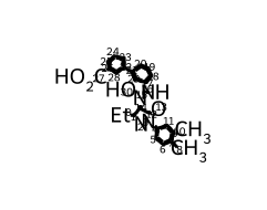 CCC1=NN(c2ccc(C)c(C)c2)C(=O)C1=NNc1cccc(-c2cccc(C(=O)O)c2)c1O